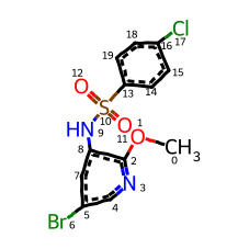 COc1ncc(Br)cc1NS(=O)(=O)c1ccc(Cl)cc1